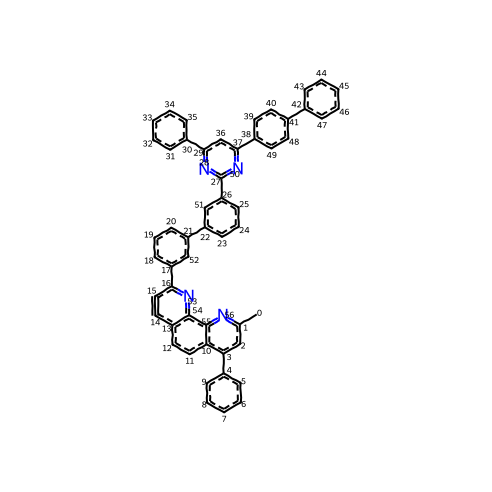 Cc1cc(-c2ccccc2)c2ccc3c#cc(-c4cccc(-c5cccc(-c6nc(-c7ccccc7)cc(-c7ccc(-c8ccccc8)cc7)n6)c5)c4)nc3c2n1